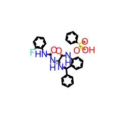 O=C(Nc1ccccc1F)N[C@H]1N=C(c2ccccc2)c2ccccc2NC1=O.O=S(=O)(O)c1ccccc1